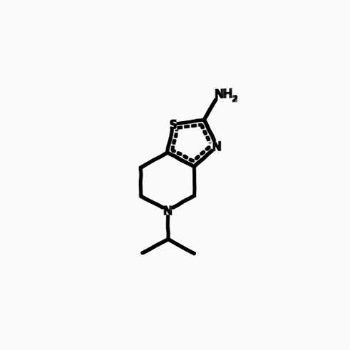 CC(C)N1CCc2sc(N)nc2C1